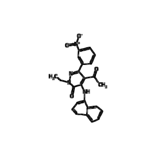 CCn1nc(-c2cccc([N+](=O)[O-])c2)c(C(C)=O)c(Nc2cccc3ccccc23)c1=O